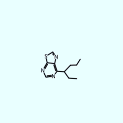 CCCC(CC)c1ncnc2scnc12